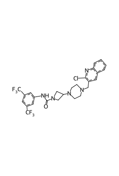 O=C(Nc1cc(C(F)(F)F)cc(C(F)(F)F)c1)N1CC(N2CCN(Cc3cc4ccccc4nc3Cl)CC2)C1